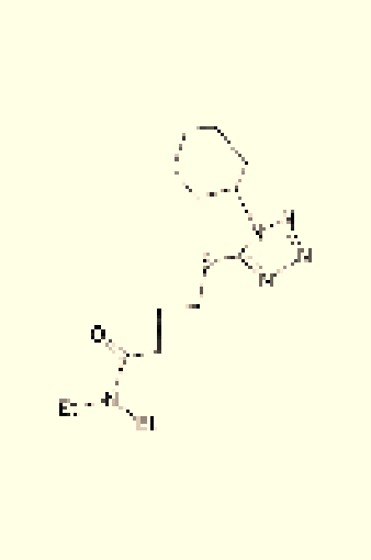 CCN(CC)C(=O)CCCSc1nnnn1C1CCCCC1